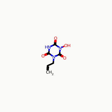 C=CCn1c(=O)[nH]c(=O)n(O)c1=O